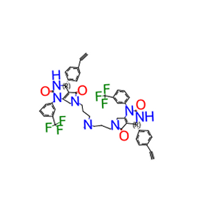 C#Cc1ccc([C@H]2NC(=O)N(c3cccc(C(F)(F)F)c3)C3=C2C(=O)N(CCCN(C)CCCN2CC4=C(C2=O)[C@@H](c2ccc(C#C)cc2)NC(=O)N4c2cccc(C(F)(F)F)c2)C3)cc1